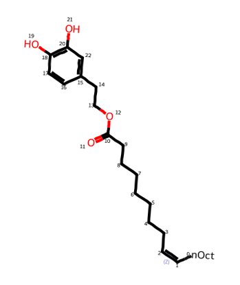 CCCCCCCC/C=C\CCCCCCCC(=O)OCCc1ccc(O)c(O)c1